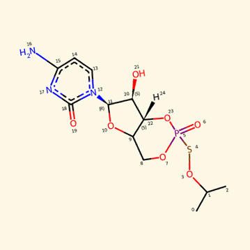 CC(C)OSP1(=O)OCC2O[C@@H](n3ccc(N)nc3=O)[C@@H](O)[C@@H]2O1